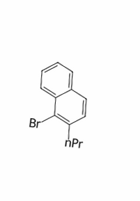 [CH2]CCc1ccc2ccccc2c1Br